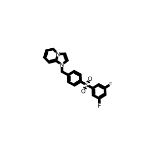 O=S(=O)(c1ccc(CN2C=CN3CC=CC=C32)cc1)c1cc(F)cc(F)c1